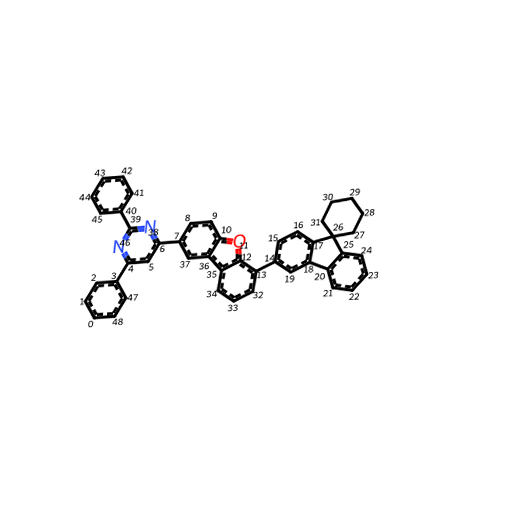 c1ccc(-c2cc(-c3ccc4oc5c(-c6ccc7c(c6)-c6ccccc6C76CCCCC6)cccc5c4c3)nc(-c3ccccc3)n2)cc1